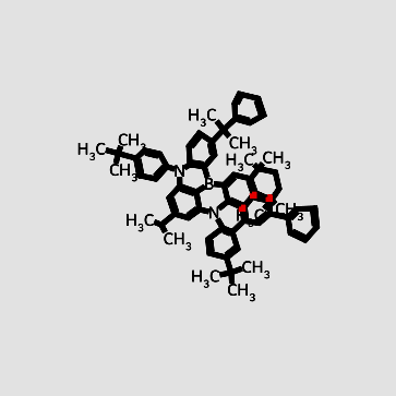 CC(C)c1cc2c3c(c1)N(c1ccc(C(C)(C)C)cc1-c1cccc(-c4ccccc4)c1)c1cc4c(cc1B3c1cc(C(C)(C)c3ccccc3)ccc1N2c1ccc(C(C)(C)C)cc1)C(C)(C)CCC4(C)C